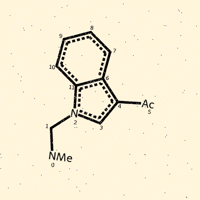 CNCn1cc(C(C)=O)c2ccccc21